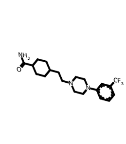 NC(=O)C1CCC(CCN2CCN(c3cccc(C(F)(F)F)c3)CC2)CC1